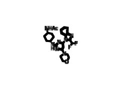 CC(=O)N[C@H]1CC[C@H](Nc2nc(N3CCOCC3)cc(-n3c(C(F)F)nc4ccccc43)n2)CC1